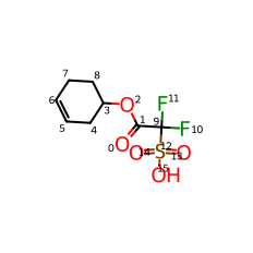 O=C(OC1CC=CCC1)C(F)(F)S(=O)(=O)O